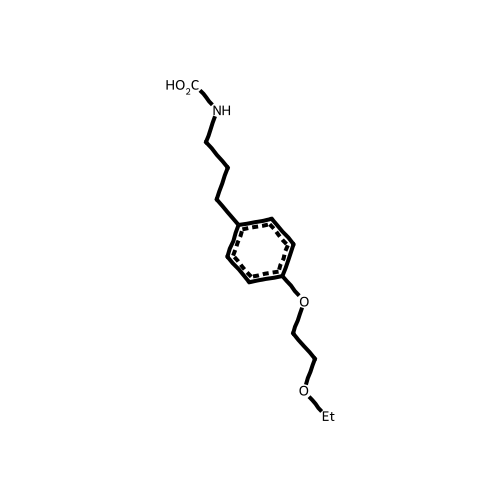 CCOCCOc1ccc(CCCNC(=O)O)cc1